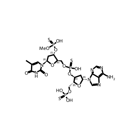 COP(O)(=S)O[C@H]1C[C@H](n2cc(C)c(=O)[nH]c2=O)O[C@@H]1COP(O)(=S)O[C@H]1C[C@H](n2cnc3c(N)ncnc32)O[C@@H]1COP(O)(O)=S